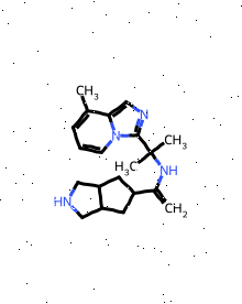 C=C(NC(C)(C)c1ncc2c(C)cccn12)C1CC2CNCC2C1